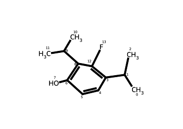 CC(C)c1ccc(O)c(C(C)C)c1F